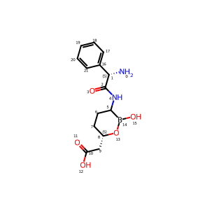 N[C@H](C(=O)NC1CC[C@@H](CC(=O)O)OB1O)c1ccccc1